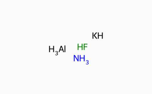 F.N.[AlH3].[KH]